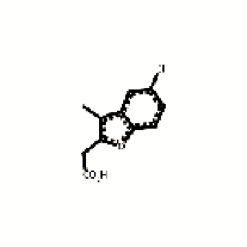 Cc1c(CC(=O)O)oc2ccc(Cl)cc12